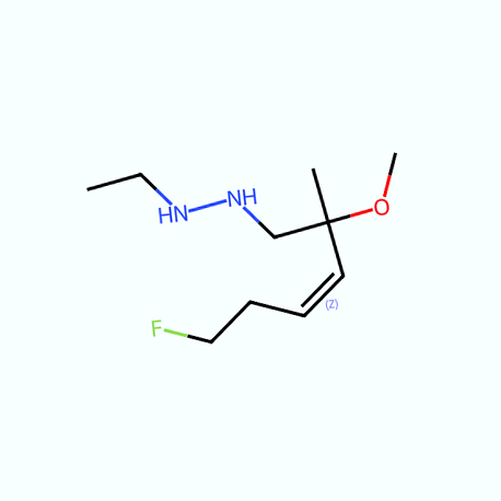 CCNNCC(C)(/C=C\CCF)OC